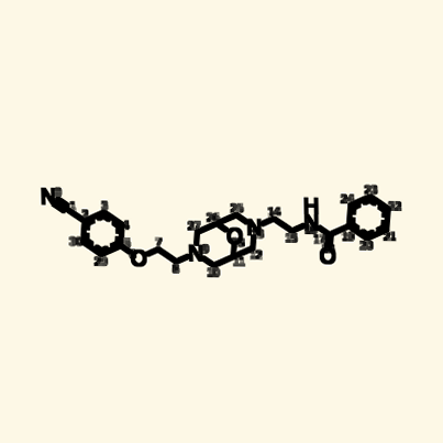 N#Cc1ccc(OCCN2CC3CN(CCNC(=O)c4ccccc4)CC(C2)O3)cc1